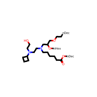 CCCCCCCCCCCCOCC(CN(CCCCCC(=O)OCCCCCCCCCC)CCN(CCO)C1CCC1)OCCCCCC